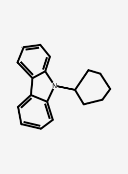 [c]1ccc2c(c1)c1ccccc1n2C1CCCCC1